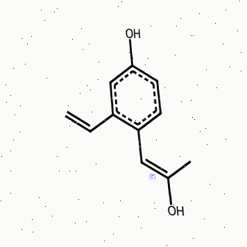 C=Cc1cc(O)ccc1/C=C(\C)O